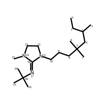 CCC(C)CC(C)(C)CCCN1CCN(C)C1=NC(C)(C)C